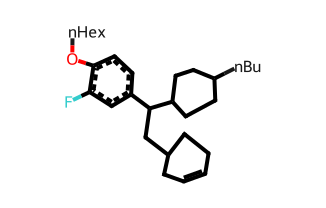 CCCCCCOc1ccc(C(CC2CC=CCC2)C2CCC(CCCC)CC2)cc1F